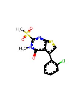 Cn1c(S(C)(=O)=O)nc2scc(-c3ccccc3Cl)c2c1=O